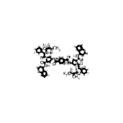 CN[C@@H](C)C(=O)N[C@H](C(=O)N1C[C@@H](NC(=O)c2ccc(C(=O)N[C@H]3C[C@@H](C(=O)N[C@H]4CCSc5ccccc54)N(C(=O)[C@@H](NC(=O)[C@H](C)NC)C4CCCCC4)C3)cc2)C[C@H]1C(=O)N[C@H]1CCSc2ccccc21)C1CCCCC1